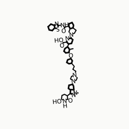 Cc1c(Oc2cccc(CCCN3CCN(c4ccc5c(C6CCC(O)NC6=O)nn(C)c5c4)CC3)c2)cccc1-c1ccc(N2CCc3cccc(C(=O)Nc4nc5ccccc5s4)c3C2)nc1C(=O)O